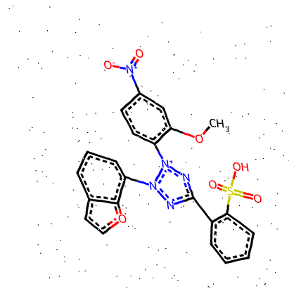 COc1cc([N+](=O)[O-])ccc1-[n+]1nc(-c2ccccc2S(=O)(=O)O)nn1-c1cccc2ccoc12